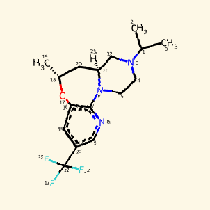 CC(C)N1CCN2c3ncc(C(F)(F)F)cc3O[C@H](C)C[C@H]2C1